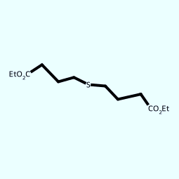 CCOC(=O)CCCSCCCC(=O)OCC